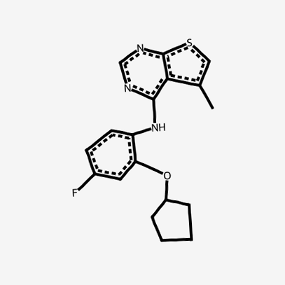 Cc1csc2ncnc(Nc3ccc(F)cc3OC3CCCC3)c12